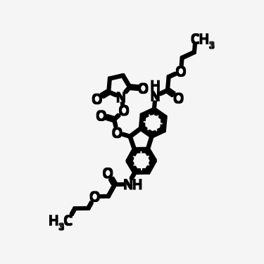 CCCOCC(=O)Nc1ccc2c(c1)C(OC(=O)ON1C(=O)CCC1=O)c1cc(NC(=O)COCCC)ccc1-2